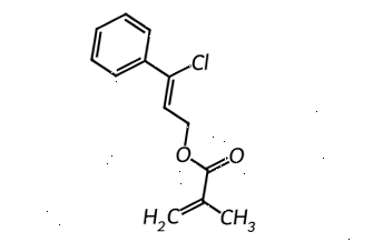 C=C(C)C(=O)OCC=C(Cl)c1ccccc1